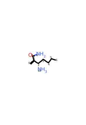 C=C(CCCCC)C(N)=O.N